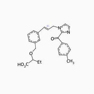 CCC(OCc1cccc(/C=C/Cn2ccnc2C(=O)c2ccc(C)cc2)c1)C(=O)O